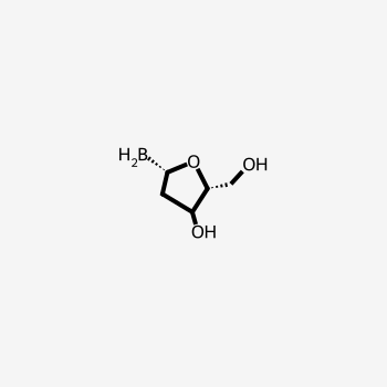 B[C@H]1CC(O)[C@@H](CO)O1